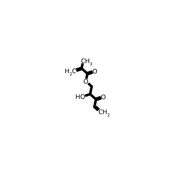 C=CC(=O)C(O)COC(=O)C(=C)C